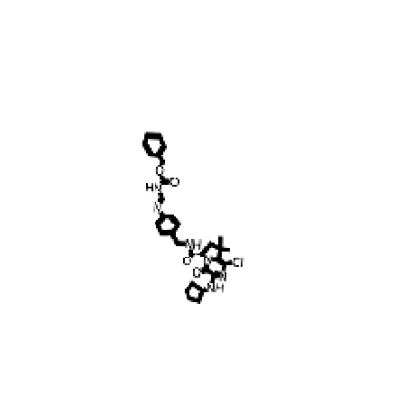 CC1(C)C[C@@H](C(=O)NCc2ccc(N=CNC(=O)OCc3ccccc3)cc2)n2c1c(Cl)nc(NC1CCCC1)c2=O